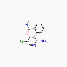 CN(C)C(=O)c1ccccc1-c1cc(Br)cnc1N